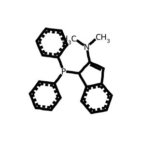 CN(C)C1=Cc2ccccc2C1P(c1ccccc1)c1ccccc1